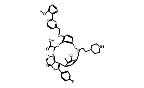 COc1ccccc1-c1nccc(COc2ccc3cc2CC(C(=O)O)Oc2ncnc4sc(-c5ccc(F)cc5)c(c24)-c2ccc(c(Cl)c2C)CN(CCN2CCNCC2)C3)n1